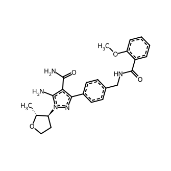 COc1ccccc1C(=O)NCc1ccc(-c2nn([C@H]3CCO[C@@H]3C)c(N)c2C(N)=O)cc1